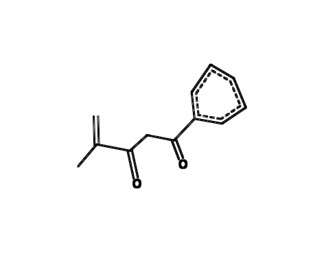 C=C(C)C(=O)CC(=O)c1ccccc1